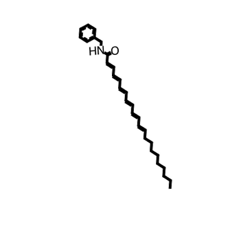 CCCCCCCCCC=CC=CC=CC=CC=CC=CC(=O)NCc1ccccc1